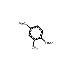 [CH2]c1cc(OC)ccc1OC